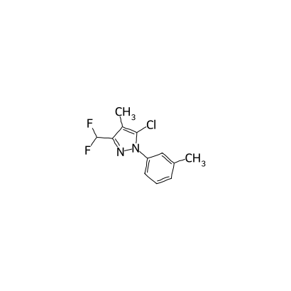 Cc1cccc(-n2nc(C(F)F)c(C)c2Cl)c1